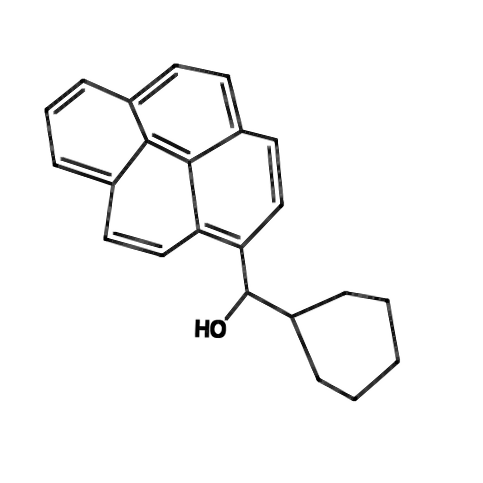 OC(c1ccc2ccc3cccc4ccc1c2c34)C1CCCCC1